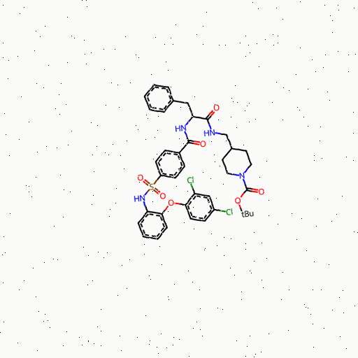 CC(C)(C)OC(=O)N1CCC(CNC(=O)C(Cc2ccccc2)NC(=O)c2ccc(S(=O)(=O)Nc3ccccc3Oc3ccc(Cl)cc3Cl)cc2)CC1